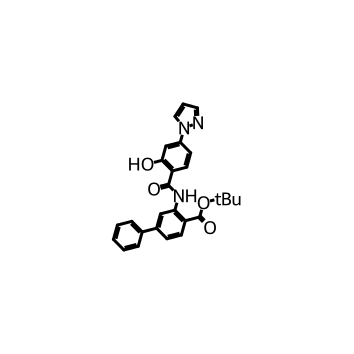 CC(C)(C)OC(=O)c1ccc(-c2ccccc2)cc1NC(=O)c1ccc(-n2cccn2)cc1O